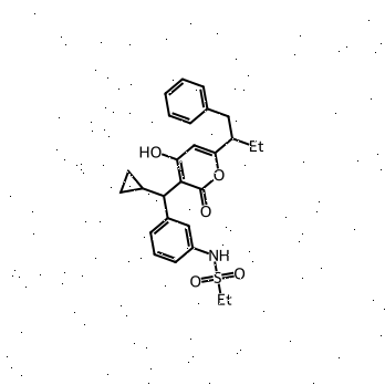 CCC(Cc1ccccc1)c1cc(O)c(C(c2cccc(NS(=O)(=O)CC)c2)C2CC2)c(=O)o1